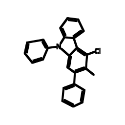 Cc1c(-c2ccccc2)cc2c(c1Cl)c1ccccc1n2-c1ccccc1